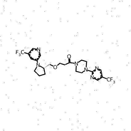 O=C(CCOC[C@@H]1CCCN1c1cncc(C(F)(F)F)c1)N1CCN(c2ncc(C(F)(F)F)cn2)CC1